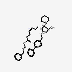 O=C(CC/C=C\CC[C@@H]1[C@@H](N2CCCCC2)[C@@H](O)C[C@@H]1OCc1ccc(-c2ccccc2)cc1)OCOCc1ccccc1